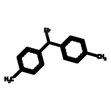 C[CH]C(c1ccc(C)cc1)c1ccc(C)cc1